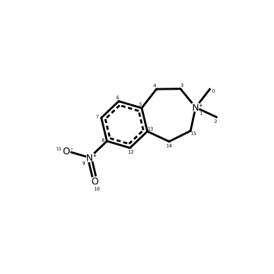 C[N+]1(C)CCc2ccc([N+](=O)[O-])cc2CC1